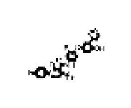 CCOc1ccn(-c2ccc(F)cc2)c(=O)c1C(=O)Nc1ccc(Oc2ccc(O)c(-c3ccncn3)c2)c(F)c1